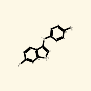 Fc1ccc2c(Oc3ccc(Br)cc3)c[nH]c2c1